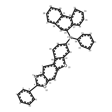 c1ccc(-c2nc3cc4c(cc3o2)oc2cc(N(c3ccccc3)c3cc5ccccc5c5ccccc35)ccc24)cc1